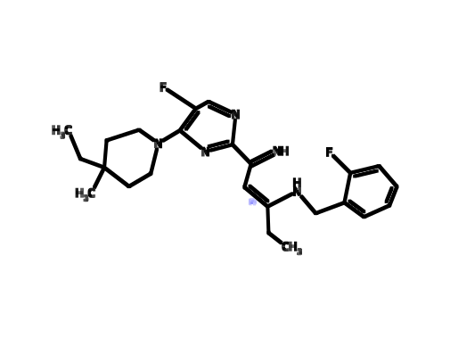 CC/C(=C/C(=N)c1ncc(F)c(N2CCC(C)(CC)CC2)n1)NCc1ccccc1F